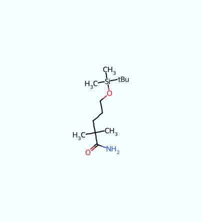 CC(C)(CCCO[Si](C)(C)C(C)(C)C)C(N)=O